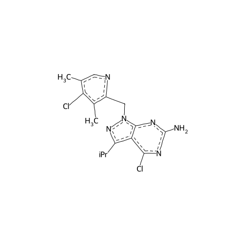 Cc1cnc(Cn2nc(C(C)C)c3c(Cl)nc(N)nc32)c(C)c1Cl